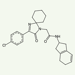 O=C(CN1C(=O)C(c2ccc(Cl)cc2)=NC12CCCCC2)NC1CC2=C(CCC=C2)C1